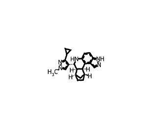 Cn1cc([C@@H]2Nc3ccc4[nH]ncc4c3[C@H]3[C@@H]4CC[C@H](C4)[C@H]32)c(C2CC2)n1